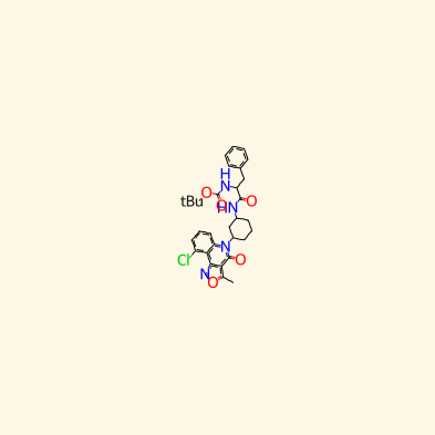 Cc1onc2c1c(=O)n(C1CCCC(NC(=O)C(Cc3ccccc3)NC(=O)OC(C)(C)C)C1)c1cccc(Cl)c21